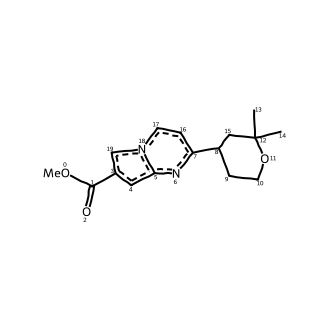 COC(=O)c1cc2nc(C3CCOC(C)(C)C3)ccn2c1